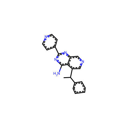 CC(c1ccccc1)c1cncc2nc(-c3ccncc3)nc(N)c12